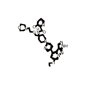 CCOc1cc(-c2ccc(N3CCC(COCCN4CCOCC4)(NC(=O)c4ncccc4Cl)CC3)nc2)c2c3cn[nH]c3nn2c1